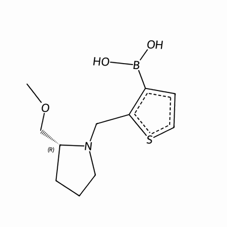 COC[C@H]1CCCN1Cc1sccc1B(O)O